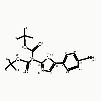 CC(C)(C)OC(=O)N(C(=O)OC(C)(C)C)c1ncc(-c2ccc(N)cc2)[nH]1